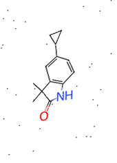 CC1(C)C(=O)Nc2ccc(C3CC3)cc21